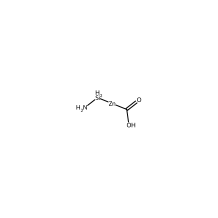 N[SiH2][Zn][C](=O)O